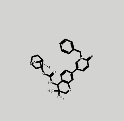 CC1(C)COc2cc(-c3ccc(=O)n(Cc4ccccc4)c3)ccc2C1NC(=O)O[C@H]1CN2CCC1CC2